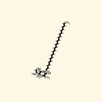 C=C(C)C(=O)O.C=C(C)C(=O)O.CCCCCCCCCCCCCCCCCCCCCCCCCCCCC.OCCO